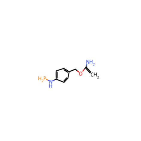 C=C(N)OCc1ccc(NP)cc1